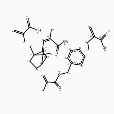 C=C(C)C(=O)O.C=C(C)C(=O)OCc1ccccc1.C=C(CC)C(=O)O.CC(=CC1CC2CCC1(C)C2(C)C)C(=O)O